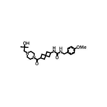 COc1ccc(CNC(=O)NC2CC3(C2)CC(C(=O)N2CCN(CC(C)(C)O)CC2)C3)cc1